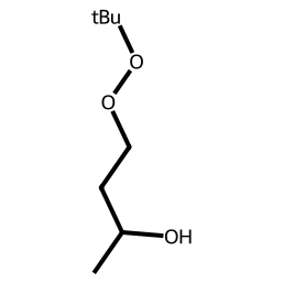 CC(O)CCOOC(C)(C)C